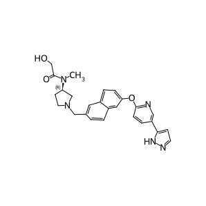 CN(C(=O)CO)[C@@H]1CCN(Cc2ccc3cc(Oc4ccc(-c5ccn[nH]5)cn4)ccc3c2)C1